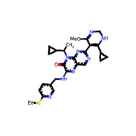 CCSc1ccc(CNc2nc3cnc(C4=C(C5CC5)NCN=C4OC)nc3n(C(C)C3CC3)c2=O)cn1